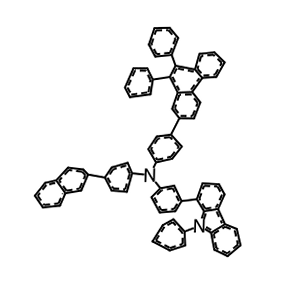 c1ccc(-c2c(-c3ccccc3)c3cc(-c4ccc(N(c5ccc(-c6ccc7ccccc7c6)cc5)c5cccc(-c6cccc7c8ccccc8n(-c8ccccc8)c67)c5)cc4)ccc3c3ccccc23)cc1